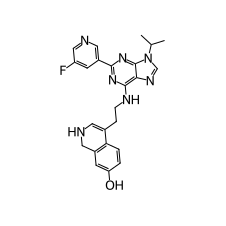 CC(C)n1cnc2c(NCCC3=CNCc4cc(O)ccc43)nc(-c3cncc(F)c3)nc21